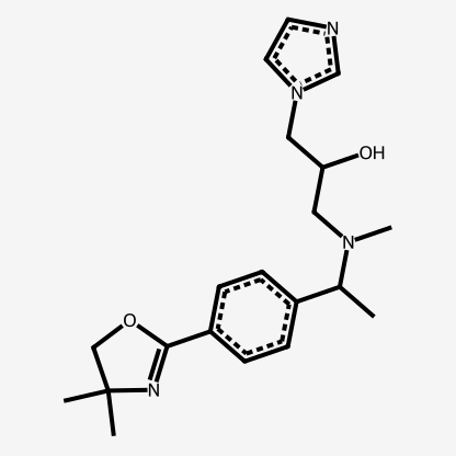 CC(c1ccc(C2=NC(C)(C)CO2)cc1)N(C)CC(O)Cn1ccnc1